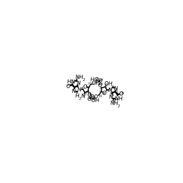 Nc1nc2c(ncn2C2OC3COP(=O)(O)OC4C(COP(=O)(O)OC3C2N)OC(n2cnc3c(=O)[nH]c(N)nc32)C4O)c(=O)[nH]1